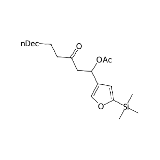 CCCCCCCCCCCCC(=O)CC(OC(C)=O)c1coc([Si](C)(C)C)c1